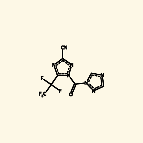 N#Cc1nc(C(F)(F)C(F)(F)F)n(C(=O)n2cncn2)n1